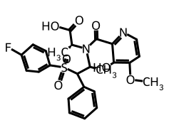 COc1ccnc(C(=O)N(C(C)C(c2ccccc2)S(=O)(=O)c2ccc(F)cc2)[C@@H](C)C(=O)O)c1O